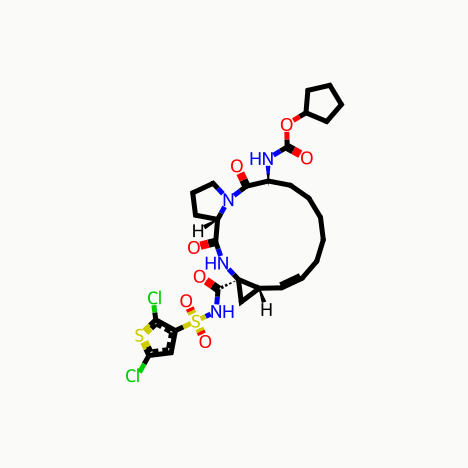 O=C(N[C@H]1CCCCC/C=C\[C@@H]2C[C@@]2(C(=O)NS(=O)(=O)c2cc(Cl)sc2Cl)NC(=O)[C@@H]2CCCN2C1=O)OC1CCCC1